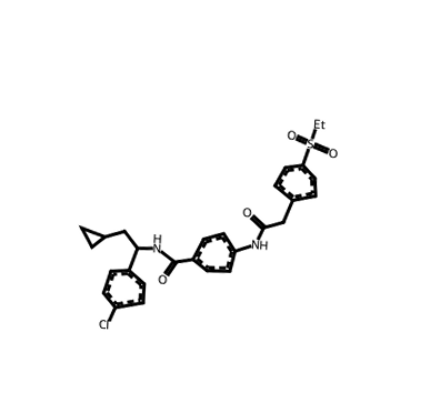 CCS(=O)(=O)c1ccc(CC(=O)Nc2ccc(C(=O)NC(CC3CC3)c3ccc(Cl)cc3)cc2)cc1